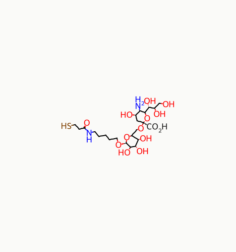 N[C@H]1C([C@H](O)[C@H](O)CO)O[C@@](OCC2O[C@H](OCCCCCNC(=O)CCS)C(O)[C@@H](O)[C@H]2O)(C(=O)O)C[C@H]1O